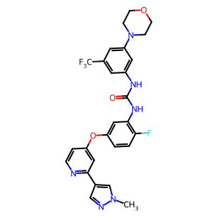 Cn1cc(-c2cc(Oc3ccc(F)c(NC(=O)Nc4cc(N5CCOCC5)cc(C(F)(F)F)c4)c3)ccn2)cn1